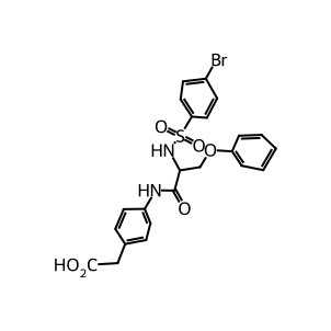 O=C(O)Cc1ccc(NC(=O)C(COc2ccccc2)NS(=O)(=O)c2ccc(Br)cc2)cc1